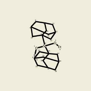 CCO[Si](OCC)(C12CC3CC(CC(C3)C1)C2)C12CC3CC(CC(C3)C1)C2